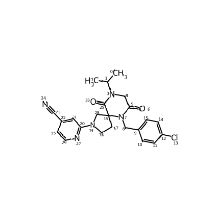 CC(C)N1CC(=O)N(Cc2ccc(Cl)cc2)C2(CCN(c3cc(C#N)ccn3)C2)C1=O